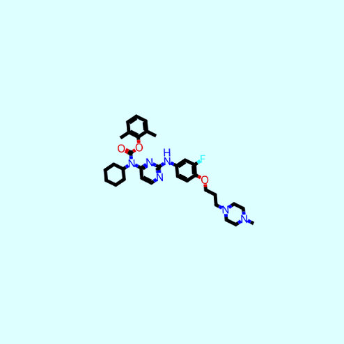 Cc1cccc(C)c1OC(=O)N(c1ccnc(Nc2ccc(OCCCN3CCN(C)CC3)c(F)c2)n1)C1CCCCC1